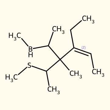 CBC(C)C(C)(/C(=C\C)CC)C(C)SC